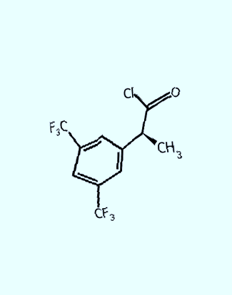 C[C@H](C(=O)Cl)c1cc(C(F)(F)F)cc(C(F)(F)F)c1